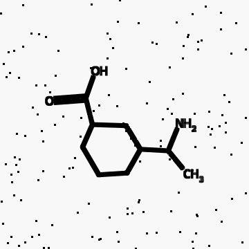 CC(N)C1CCCC(C(=O)O)C1